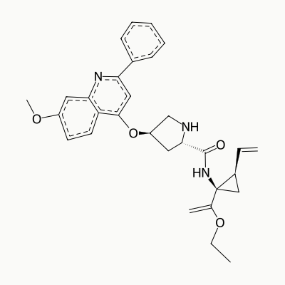 C=C[C@H]1C[C@]1(NC(=O)[C@@H]1C[C@@H](Oc2cc(-c3ccccc3)nc3cc(OC)ccc23)CN1)C(=C)OCC